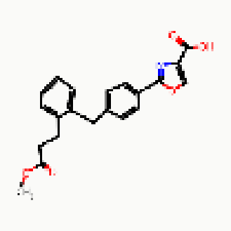 COC(=O)CCc1ccccc1Cc1ccc(-c2nc(C(=O)O)co2)cc1